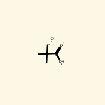 CC(C)(C)C(=O)O.[Cr]